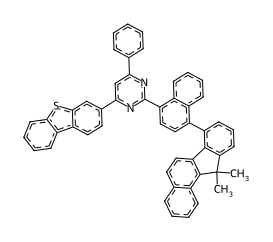 CC1(C)c2cccc(-c3ccc(-c4nc(-c5ccccc5)cc(-c5ccc6c(c5)sc5ccccc56)n4)c4ccccc34)c2-c2ccc3ccccc3c21